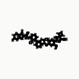 COc1cc(OC2CCc3c(-c4cccc(NC(=O)c5nc6c(n5C)CCN(C)C6)c4Cl)cccc32)c(Cl)cc1CNC1(C(=O)O)CCC1